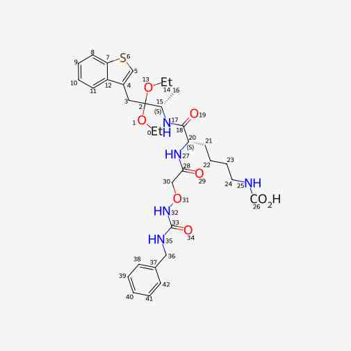 CCOC(Cc1csc2ccccc12)(OCC)[C@H](C)NC(=O)[C@H](CCCCNC(=O)O)NC(=O)CONC(=O)NCc1ccccc1